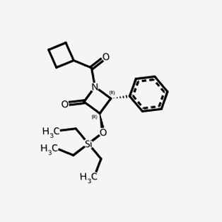 CC[Si](CC)(CC)O[C@H]1C(=O)N(C(=O)C2CCC2)[C@@H]1c1ccccc1